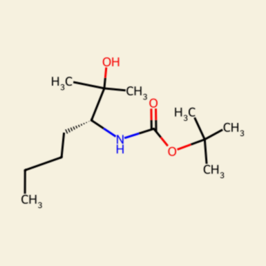 CCCC[C@@H](NC(=O)OC(C)(C)C)C(C)(C)O